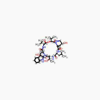 CC(C)C[C@@H]1NC(=O)[C@H]2C[C@@H](O)CNN2C(=O)[C@H](C(C)C)OC(=O)[C@@H](C(C)C)NC(=O)[C@@H]2C[C@@]3(O)c4ccccc4N[C@H]3N2C(=O)[C@@H]([C@H](C)O)NC1=O